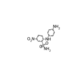 Nc1ccc(Nc2ccc([N+](=O)[O-])cc2S(N)(=O)=O)cc1